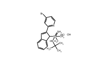 CC(C)(C)[NH][Zr]([CH3])([CH3])(=[SiH2])[CH]1C(c2cc(Br)ccn2)=Cc2ccccc21.Cl.Cl